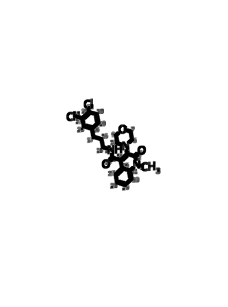 Cn1c(=O)c(N2CCOCC2)c(C(=O)NCCCc2ccc(Cl)c(Cl)c2)c2ccccc21